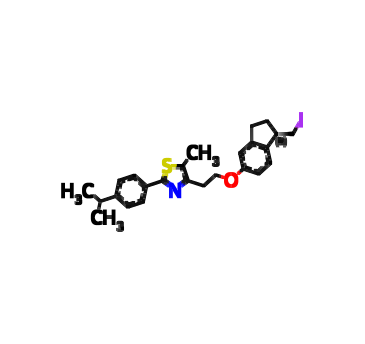 Cc1sc(-c2ccc(C(C)C)cc2)nc1CCOc1ccc2c(c1)CC[C@H]2CI